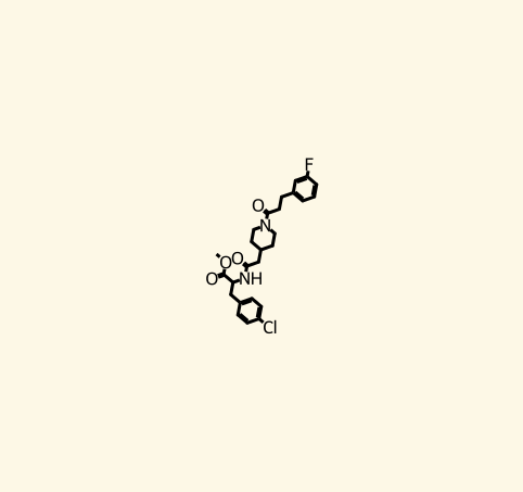 COC(=O)C(Cc1ccc(Cl)cc1)NC(=O)CC1CCN(C(=O)CCc2cccc(F)c2)CC1